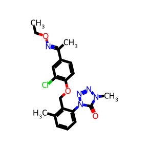 CCON=C(C)c1ccc(OCc2c(C)cccc2-n2nnn(C)c2=O)c(Cl)c1